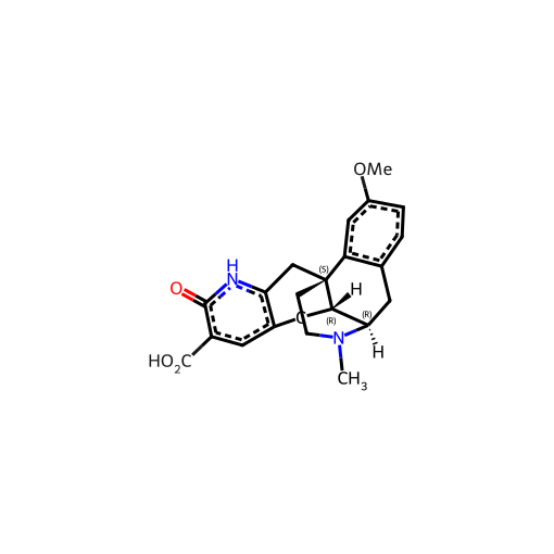 COc1ccc2c(c1)[C@]13CCN(C)[C@H](C2)[C@@H]1Cc1cc(C(=O)O)c(=O)[nH]c1C3